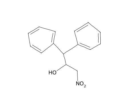 O=[N+]([O-])CC(O)C(c1ccccc1)c1ccccc1